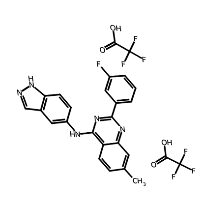 Cc1ccc2c(Nc3ccc4[nH]ncc4c3)nc(-c3cccc(F)c3)nc2c1.O=C(O)C(F)(F)F.O=C(O)C(F)(F)F